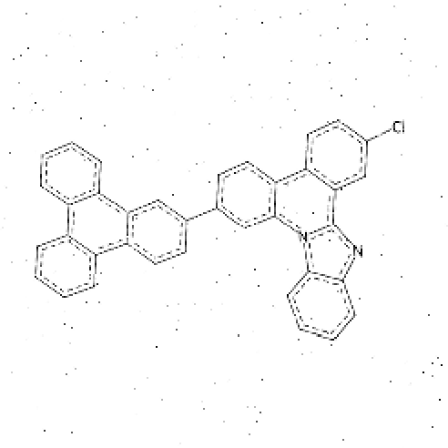 Clc1ccc2c3ccc(-c4ccc5c6ccccc6c6ccccc6c5c4)cc3n3c4ccccc4nc3c2c1